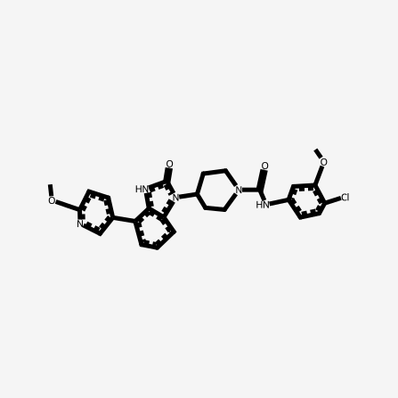 COc1ccc(-c2cccc3c2[nH]c(=O)n3C2CCN(C(=O)Nc3ccc(Cl)c(OC)c3)CC2)cn1